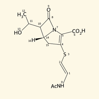 CC(=O)NC=CSC1=C(C(=O)O)N2C(=O)C(C(C)O)[C@H]2C1